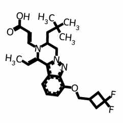 C/C=C1/c2c3cccc(OCC4CC(F)(F)C4)c3nn2CC(CC(C)(C)C)N1/C=C/C(=O)O